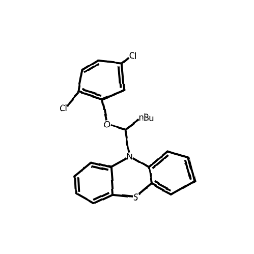 CCCCC(Oc1cc(Cl)ccc1Cl)N1c2ccccc2Sc2ccccc21